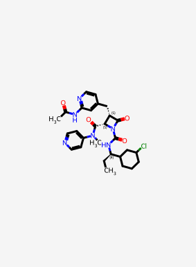 CC[C@@H](NC(=O)N1C(=O)[C@@H](Cc2ccnc(NC(C)=O)c2)[C@H]1C(=O)N(C)c1ccncc1)C1CCCC(Cl)C1